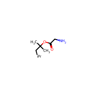 CC(C)CC(C)(C)OC(=O)CN